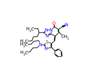 CCCCC(CC)c1nc2c(=Cc3sc(N(CCCC)CCCC)nc3-c3ccccc3)c(C)c(C#N)c(=O)n2n1